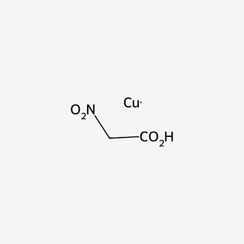 O=C(O)C[N+](=O)[O-].[Cu]